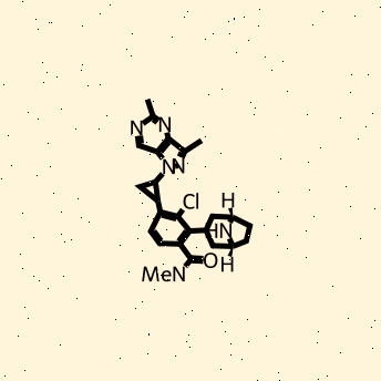 CNC(=O)c1ccc(C2CC2n2nc(C)c3nc(C)ncc32)c(Cl)c1C1C[C@H]2CC[C@@H](C1)N2